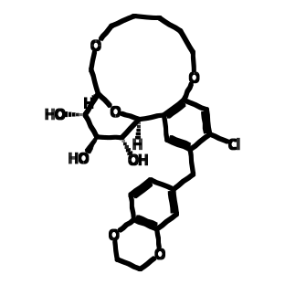 O[C@@H]1[C@@H](O)[C@H]2O[C@H](COCCCCCOc3cc(Cl)c(Cc4ccc5c(c4)OCCO5)cc32)[C@H]1O